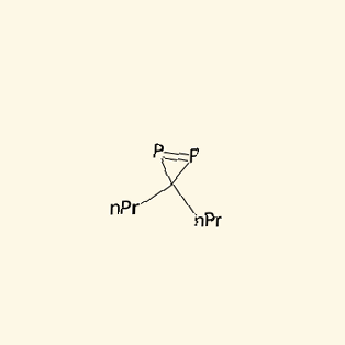 CCCC1(CCC)P=P1